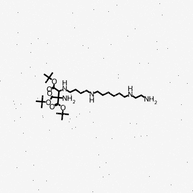 CC(C)(C)OC(=O)C(NCCCCNCCCCCCNCCN)C(N)(C(=O)OC(C)(C)C)C(=O)OC(C)(C)C